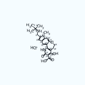 Cl.Cn1c(CNC(C)(C)C)cc2cc3c(cc21)OCCc1c-3[nH]c(=O)c(C(=O)O)c1O